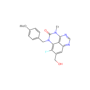 CCN1C(=O)N(Cc2ccc(OC)cc2)c2c(F)c(CO)cc3ncnc1c23